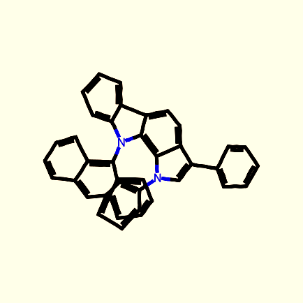 c1ccc(-c2cn(-c3ccccc3)c3c2ccc2c4ccccc4n(-c4c5ccccc5cc5ccccc45)c23)cc1